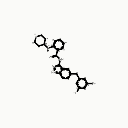 O=C(Nc1n[nH]c2ccc(Cc3cc(F)cc(F)c3)cc12)c1ccccc1NC1CCOCC1